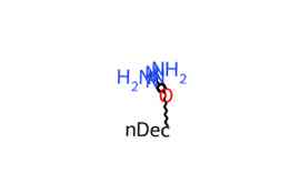 CCCCCCCCCCCCCCCCCCOc1ccc(-c2nc(N)nc(N)n2)cc1